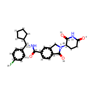 O=C1CC[C@@H](N2Cc3cc(C(=O)N[C@H](c4ccc(F)cc4)C4CCCC4)ccc3C2=O)C(=O)N1